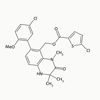 COc1ccc(Cl)cc1-c1ccc2c(c1COC(=O)c1ccc(Cl)s1)N(C)C(=O)C(C)(C)N2